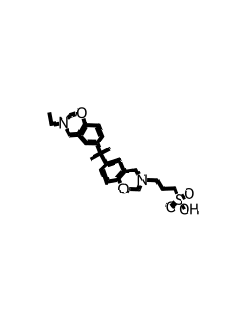 CCN1COc2ccc(C(C)(C)c3ccc4c(c3)CN(CCCS(=O)(=O)O)CO4)cc2C1